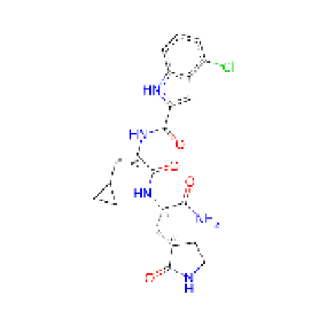 NC(=O)[C@H](C[C@@H]1CCNC1=O)NC(=O)[C@H](CC1CC1)NC(=O)c1cc2c(Cl)cccc2[nH]1